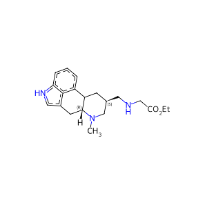 CCOC(=O)CNC[C@@H]1CC2c3cccc4[nH]cc(c34)C[C@H]2N(C)C1